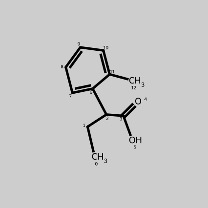 CCC(C(=O)O)c1ccccc1C